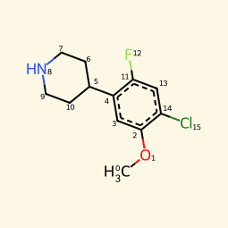 COc1cc(C2CCNCC2)c(F)cc1Cl